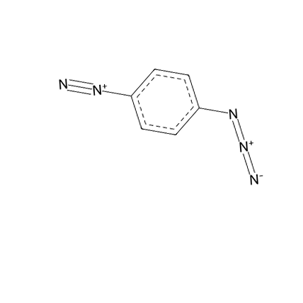 N#[N+]c1ccc(N=[N+]=[N-])cc1